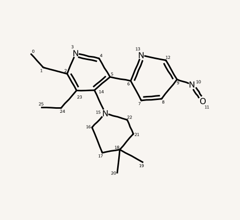 CCc1ncc(-c2ccc(N=O)cn2)c(N2CCC(C)(C)CC2)c1CC